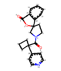 O=C1OC2(CCN(C(=O)C3(c4ccncc4)CCC3)C2)c2ccccc21